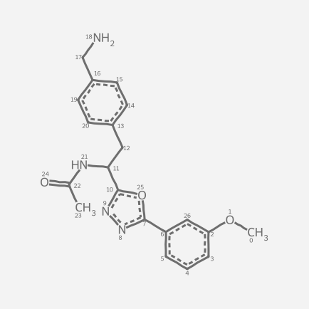 COc1cccc(-c2nnc(C(Cc3ccc(CN)cc3)NC(C)=O)o2)c1